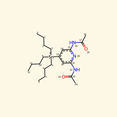 CCC[CH2][Sn]([CH2]CCC)([CH2]CCC)[c]1cc(NC(C)=O)nc(NC(C)=O)c1